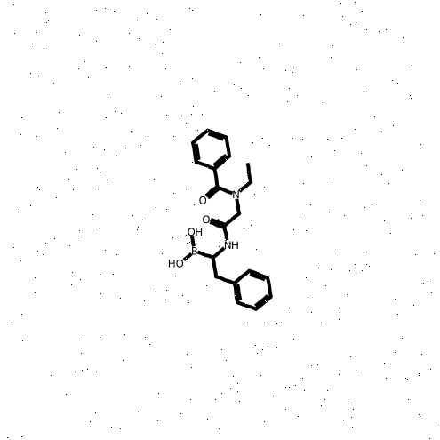 CCN(CC(=O)NC(Cc1ccccc1)B(O)O)C(=O)c1ccccc1